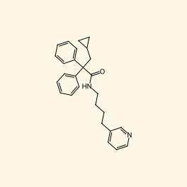 O=C(NCCCCc1cccnc1)C(CC1CC1)(c1ccccc1)c1ccccc1